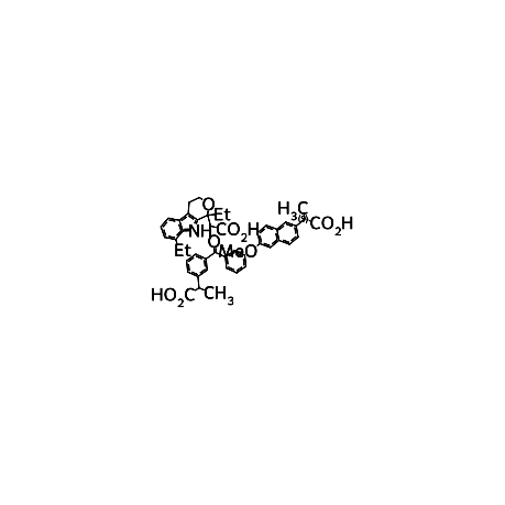 CC(C(=O)O)c1cccc(C(=O)c2ccccc2)c1.CCc1cccc2c3c([nH]c12)C(CC)(CC(=O)O)OCC3.COc1ccc2cc([C@H](C)C(=O)O)ccc2c1